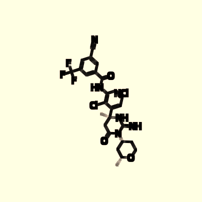 C[C@@H]1C[C@H](N2C(=N)N[C@](C)(c3cccc(NC(=O)c4cc(C#N)cc(C(F)(F)F)c4)c3Cl)CC2=O)CCO1.Cl